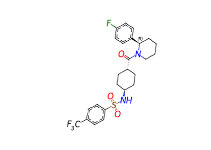 O=C([C@H]1CC[C@H](NS(=O)(=O)c2ccc(C(F)(F)F)cc2)CC1)N1CCCC[C@@H]1c1ccc(F)cc1